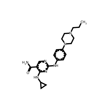 CCCN1CCN(c2ccc(Nc3ncc(C(N)=O)c(NC4CC4)n3)cc2)CC1